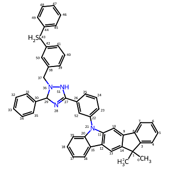 CC1(C)c2ccccc2-c2cc3c(cc21)c1ccccc1n3-c1cccc(C2=NC(c3ccccc3)N(Cc3cccc([SiH2]c4ccccc4)c3)N2)c1